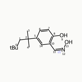 CC(C)(C)CC(C)(C)c1ccc(O)c(/C=N\O)c1